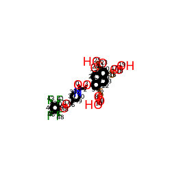 O=C(COc1cc(SOOO)c2ccc3c(SOOO)cc(S(=O)(=O)O)c4ccc1c2c34)N1CCC(COOc2c(F)c(F)cc(F)c2F)CC1